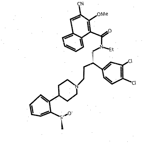 CCN(C[C@@H](CCN1CCC(c2ccccc2[S@+](C)[O-])CC1)c1ccc(Cl)c(Cl)c1)C(=O)c1c(OC)c(C#N)cc2ccccc12